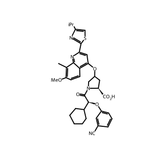 COc1ccc2c(OC3C[C@@H](C(=O)O)N(C(=O)[C@@H](Oc4cccc(C#N)c4)C4CCCCC4)C3)cc(-c3nc(C(C)C)cs3)nc2c1C